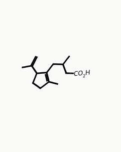 C=C(C)C1CCC(C)=C1CC(C)CC(=O)O